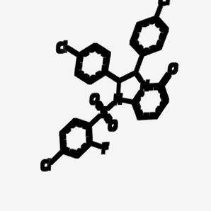 O=c1cccc2n1C(c1ccc(Cl)cc1)C(c1ccc(Cl)cc1)N2S(=O)(=O)c1ccc(Cl)cc1F